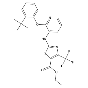 CCOC(=O)c1sc(Nc2cccnc2Oc2ccccc2C(C)(C)C)nc1C(F)(F)F